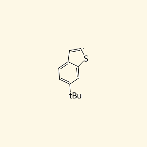 CC(C)(C)c1ccc2c[c]sc2c1